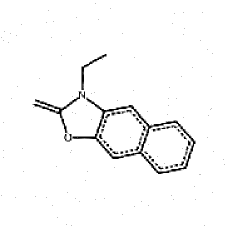 C=C1Oc2cc3ccccc3cc2N1CC